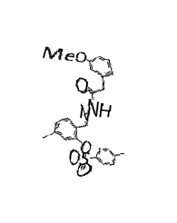 COc1cccc(CC(=O)NN=Cc2ccc(C)cc2OS(=O)(=O)c2ccc(C)cc2)c1